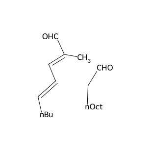 CCCCC=CC=C(C)C=O.CCCCCCCCCC=O